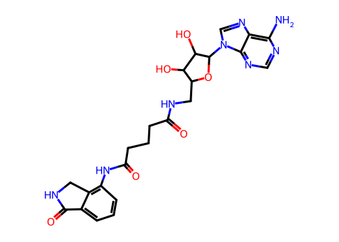 Nc1ncnc2c1ncn2C1OC(CNC(=O)CCCC(=O)Nc2cccc3c2CNC3=O)C(O)C1O